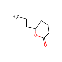 CCCC1CCCC(=O)O1